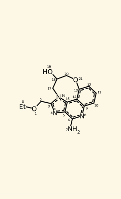 CCOCc1nc2c(N)nc3cccc4c3c2n1CC(O)CO4